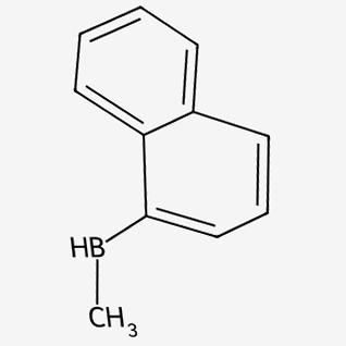 CBc1cccc2ccccc12